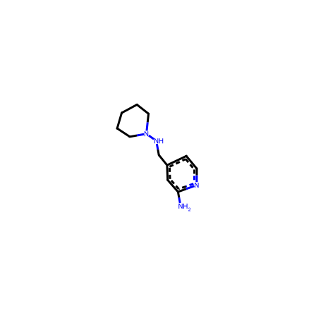 Nc1cc(CNN2CCCCC2)ccn1